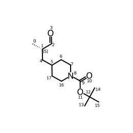 C[C@H](C=O)CC1CCN(C(=O)OC(C)(C)C)CC1